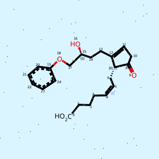 O=C(O)CCC/C=C\C[C@H]1C(=O)CC=C1CC[C@H](O)COc1ccccc1